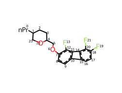 CCCC1CCC(COc2ccc3c(c2F)-c2c-3ccc(F)c2F)OC1